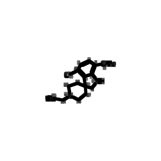 COc1ccc(Cl)c2c1NCC21CCN(CC(C)(C)C)CC1